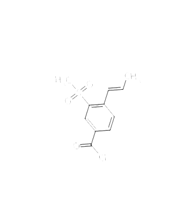 CC=Cc1ccc(C(=O)Cl)cc1S(C)(=O)=O